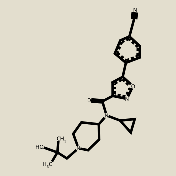 CC(C)(O)CN1CCC(N(C(=O)c2cc(-c3ccc(C#N)cc3)on2)C2CC2)CC1